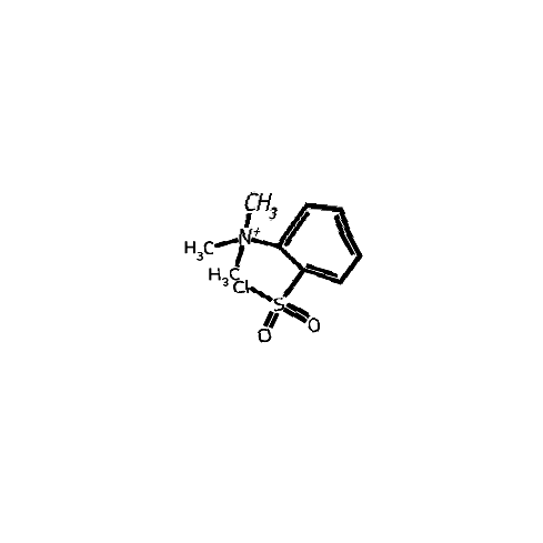 C[N+](C)(C)c1ccccc1S(=O)(=O)Cl